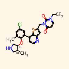 Cc1cc(Cl)cc(-c2ccnc3cc(Cn4c(=O)ccn(CC(F)(F)F)c4=O)sc23)c1O[C@@H]1CNC[C@@H]1C